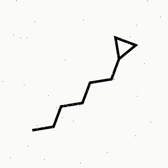 CCCCC[CH]C1CC1